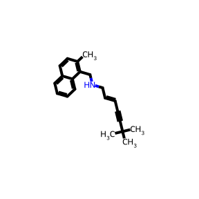 Cc1ccc2ccccc2c1CNC/C=C/C#CC(C)(C)C